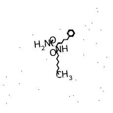 CCCCCCCC(=O)N[C@@H](/C=C/CCc1ccccc1)CC(N)=O